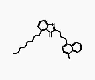 CCCCCCCCc1cccc2nc(CCCc3ccc(C)c4ccccc34)[nH]c12